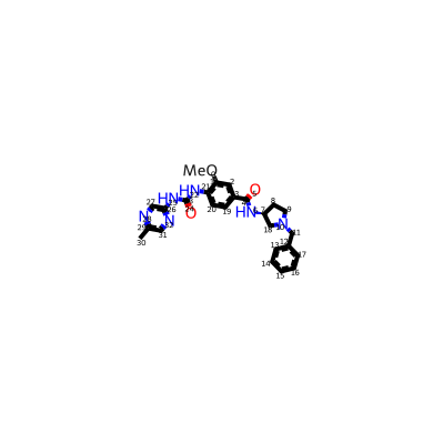 COc1cc(C(=O)N[C@H]2CCN(Cc3ccccc3)C2)ccc1NC(=O)Nc1cnc(C)cn1